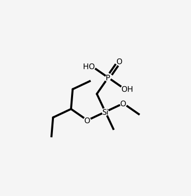 CCC(CC)O[Si](C)(CP(=O)(O)O)OC